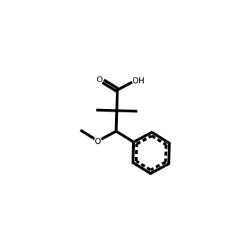 COC(c1ccccc1)C(C)(C)C(=O)O